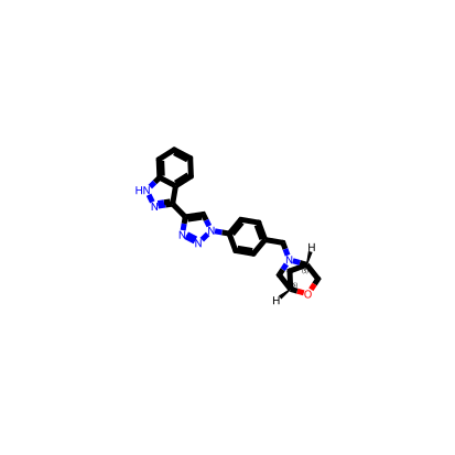 c1ccc2c(-c3cn(-c4ccc(CN5C[C@@H]6C[C@H]5CO6)cc4)nn3)n[nH]c2c1